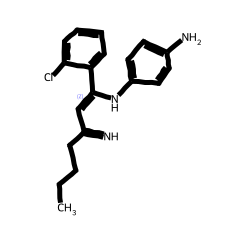 CCCCC(=N)/C=C(\Nc1ccc(N)cc1)c1ccccc1Cl